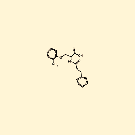 Nc1ccccc1SCC(NC(=O)OCc1ccccc1)C(=O)O